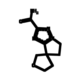 NC(=O)c1nc2n(n1)CCC21CCOC1